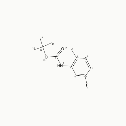 Cc1ncc(F)cc1NC(=O)OC(C)(C)C